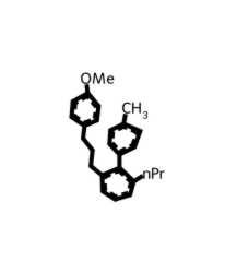 [CH2]CCc1cccc(CCCc2ccc(OC)cc2)c1-c1ccc(C)cc1